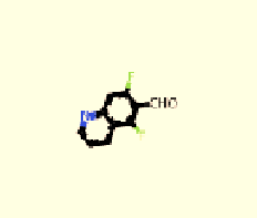 O=Cc1c(F)cc2ncccc2c1F